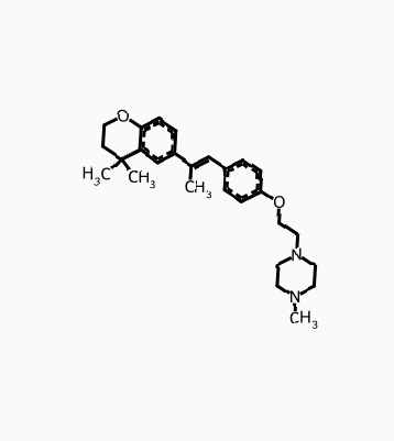 CC(=Cc1ccc(OCCN2CCN(C)CC2)cc1)c1ccc2c(c1)C(C)(C)CCO2